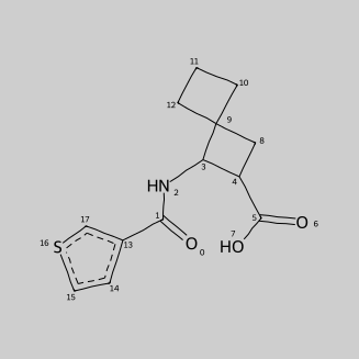 O=C(NC1C(C(=O)O)CC12CCC2)c1ccsc1